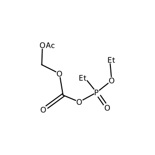 CCOP(=O)(CC)OC(=O)OCOC(C)=O